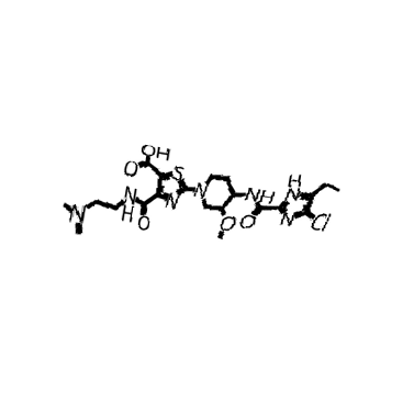 CCc1[nH]c(C(=O)NC2CCN(c3nc(C(=O)NCCN(C)C)c(C(=O)O)s3)CC2OC)nc1Cl